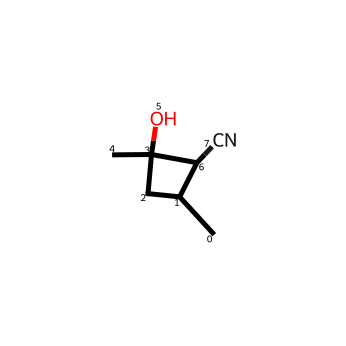 CC1CC(C)(O)C1C#N